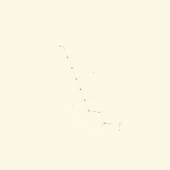 O=C(C(F)C(=O)C(F)(F)C(F)(F)C(F)(F)C(F)(F)C(F)(F)C(F)F)C(F)(F)F